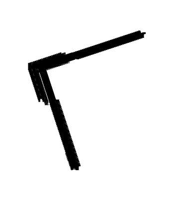 O.O.O.O.O.O.O.O.O.O.O.O.O.O.O.O.O.O.O.O.O.O.O.O.O.O.O.O.O.O.O.O.O.O.O.O.O.O.O.[Ar].[Ar].[Ar].[Ar].[Ar].[Ar].[Ar].[Ar].[Ar].[Ar].[Ar].[Ar].[Ar].[Ar].[Ar].[Ar].[Ar].[Ar].[Ar].[Ar].[Ar].[Ar].[Ar].[Ar].[Ar].[Ar].[Ar].[Ar].[Ar].[Ar].[Ar].[Ar].[Ar].[Ar].[Ar].[Ar].[Ar].[Ar].[Ar].[Ar].[Ar].[Ar].[Ar].[Ar].[Ar].[Ar].[Ar].[Ar].[Ar].[Ar].[Ar].[Ar].[Ar].[Ar].[Ar].[Ar].[Ar].[Ar].[Ar].[Ar].[Ar].[Ar].[Ar].[Ar].[Ar].[Ar].[Ar].[Ar].[Ar].[Ar].[Ar].[Ar].[Ar].[Ar].[Ar].[Ar].[Ar].[Ar].[Ar].[Ar].[O]